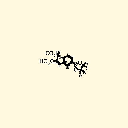 CC1(C)OB(c2ccc3c(c2)cc(C(=O)O)n3C(=O)O)OC1(C)C